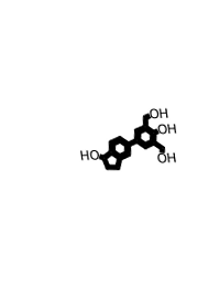 OCc1cc(-c2ccc3c(c2)CCC3O)cc(CO)c1O